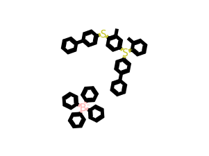 Cc1cc([S+](c2ccc(-c3ccccc3)cc2)c2ccccc2C)ccc1Sc1ccc(-c2ccccc2)cc1.c1ccc([B-](c2ccccc2)(c2ccccc2)c2ccccc2)cc1